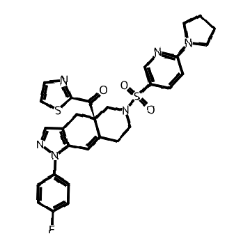 O=C(c1nccs1)[C@]12Cc3cnn(-c4ccc(F)cc4)c3C=C1CCN(S(=O)(=O)c1ccc(N3CCCC3)nc1)C2